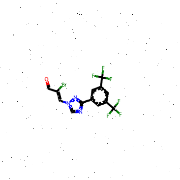 O=[C]C(Br)=Cn1cnc(-c2cc(C(F)(F)F)cc(C(F)(F)F)c2)n1